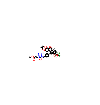 CCOC(=O)CCNC(=O)NCc1ccc([C@H]2C[C@@]3(C)[C@@H](CC[C@@]3(O)C(F)(F)C(F)(F)F)[C@@H]3CC[C@@]4(O)CC5(CCC4=C32)OCC(C)(C)CO5)cc1